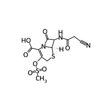 CS(=O)(=O)OC1=C(C(=O)O)N2C(=O)C(NC(=O)CC#N)[C@H]2SC1